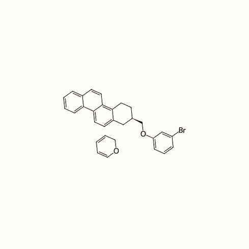 Brc1cccc(OC[C@@H]2CCc3c(ccc4c3ccc3ccccc34)C2)c1.C1=CCOC=C1